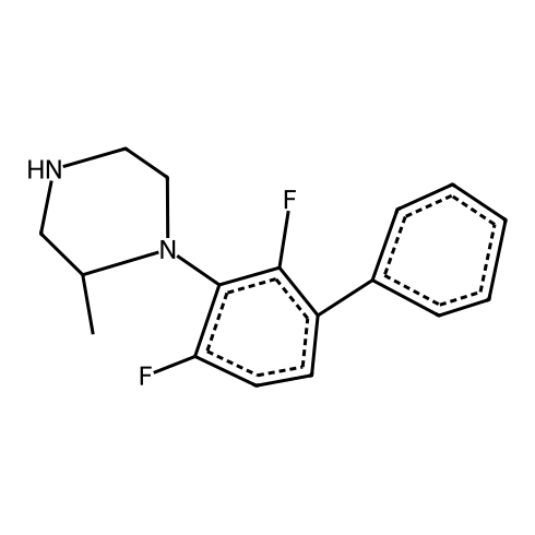 CC1CNCCN1c1c(F)ccc(-c2ccccc2)c1F